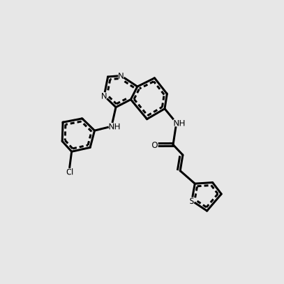 O=C(C=Cc1cccs1)Nc1ccc2ncnc(Nc3cccc(Cl)c3)c2c1